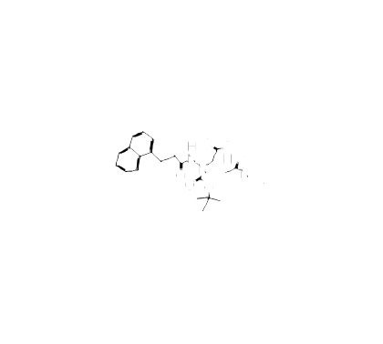 CC(C)(C)OC(=O)N(NC(=O)CCc1cccc2ccccc12)[C@@H](CC(N)=O)C(=O)O